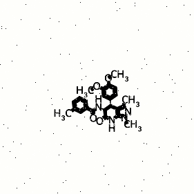 COc1ccc([C@@H]2c3c(C)nn(C)c3NC(=O)[C@@H]2NC(=O)c2cccc(C)c2)cc1OC